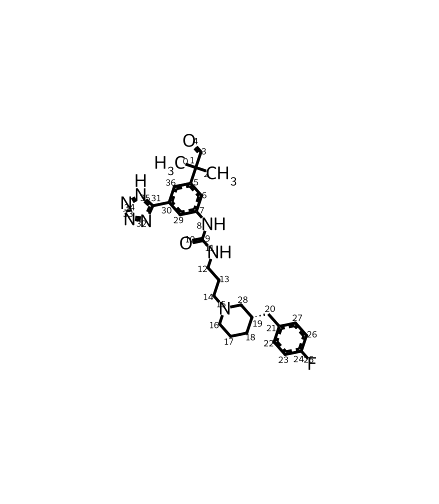 CC(C)(C=O)c1cc(NC(=O)NCCCN2CCC[C@@H](Cc3ccc(F)cc3)C2)cc(-c2nnn[nH]2)c1